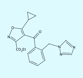 CCOC(=O)c1noc(C2CC2)c1C(=O)c1ccccc1Cn1cncn1